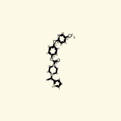 CC(c1cccs1)N1CCN(C(=O)Oc2ccc(Oc3ccc(C(F)(F)F)cn3)cc2)CC1